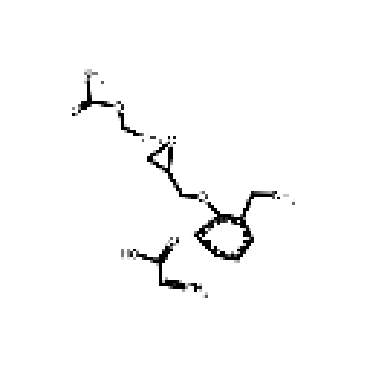 C=CC(=O)O.CCOC(N)=O.NCc1ccccc1OCC1CO1